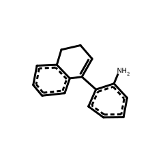 Nc1ccccc1C1=CCCc2ccccc21